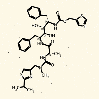 CC(C)c1nc(CN(C)C(=O)N[C@@H](C)C(=O)N[C@@H](Cc2ccccc2)[C@H](O)[C@H](O)[C@H](Cc2ccccc2)NC(=O)OCc2cncs2)cs1